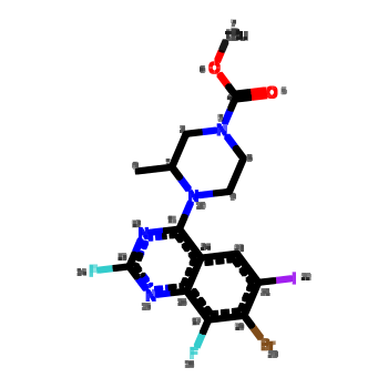 CC1CN(C(=O)OC(C)(C)C)CCN1c1nc(F)nc2c(F)c(Br)c(I)cc12